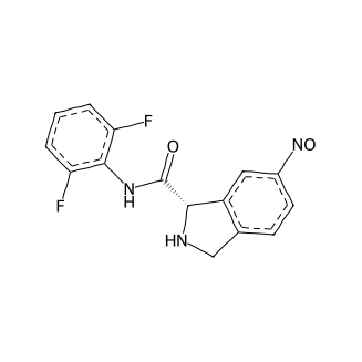 O=Nc1ccc2c(c1)[C@@H](C(=O)Nc1c(F)cccc1F)NC2